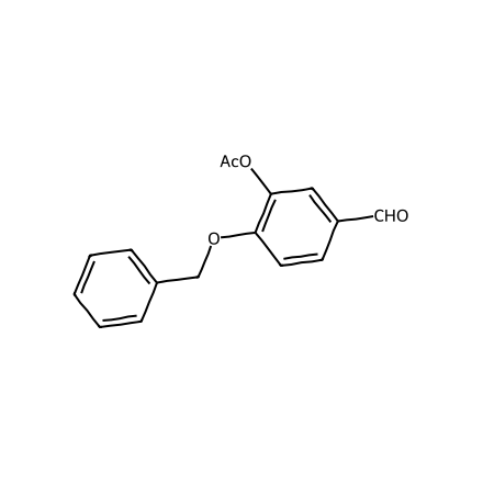 CC(=O)Oc1cc(C=O)ccc1OCc1ccccc1